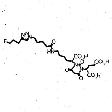 O=C(O)CC[C@@H](C(=O)O)N1C(=O)CC(=O)N([C@@H](CCCCNC(=O)CCCCn2cc(CCCF)nn2)C(=O)O)C1=O